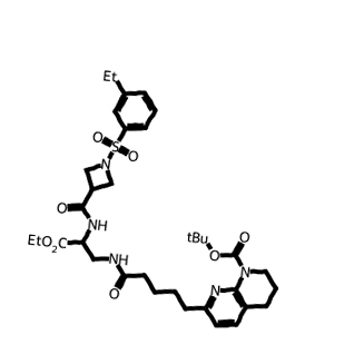 CCOC(=O)C(CNC(=O)CCCCc1ccc2c(n1)N(C(=O)OC(C)(C)C)CCC2)NC(=O)C1CN(S(=O)(=O)c2cccc(CC)c2)C1